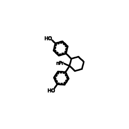 CCCC1(c2ccc(O)cc2)CCCCC1c1ccc(O)cc1